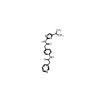 CC(C)c1cnc(NC(=O)Cc2ccc(NC(=O)Cc3cccnc3)cc2)s1